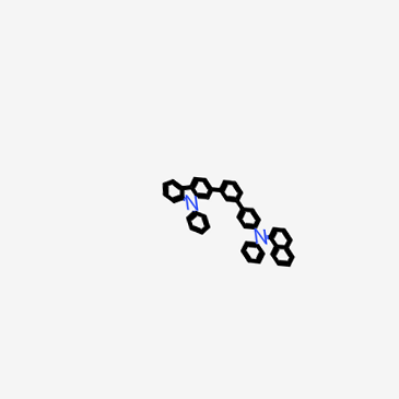 c1ccc(N(c2ccc(-c3cccc(-c4ccc5c6ccccc6n(-c6ccccc6)c5c4)c3)cc2)c2cccc3ccccc23)cc1